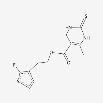 CC1=C(C(=O)OCCc2ccsc2F)CNC(=S)N1